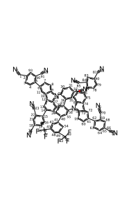 N#Cc1ccc(-c2ccc3c(c2)c2cc(-c4ccc(C#N)cc4C#N)ccc2n3-c2ccc(C#N)cc2-c2ccc(-c3cc(C(F)(F)F)cc(C(F)(F)F)c3)cc2-n2c3ccc(-c4ccc(C#N)cc4C#N)cc3c3cc(-c4ccc(C#N)cc4C#N)ccc32)c(C#N)c1